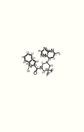 Cc1cc(C2CN(C(=O)c3cc4ccccc4n3C)CC(F)(F)C2)n2ncnc2n1